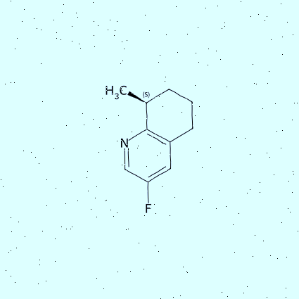 C[C@H]1CCCc2cc(F)cnc21